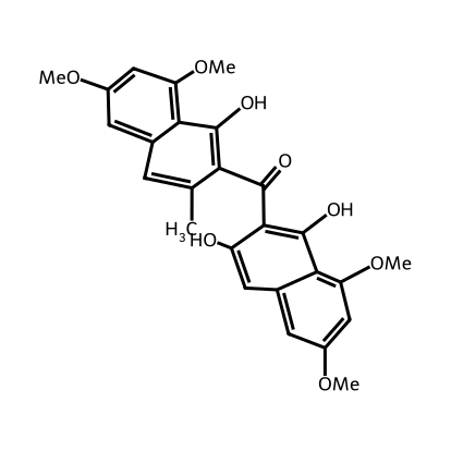 COc1cc(OC)c2c(O)c(C(=O)c3c(O)cc4cc(OC)cc(OC)c4c3O)c(C)cc2c1